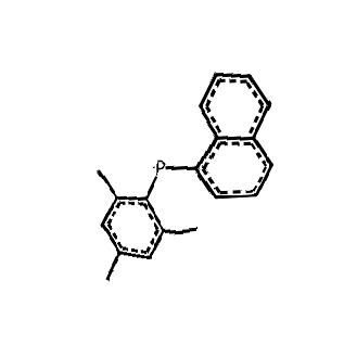 Cc1cc(C)c([P]c2cccc3ccccc23)c(C)c1